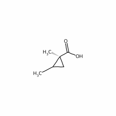 CC1C[C@]1(C)C(=O)O